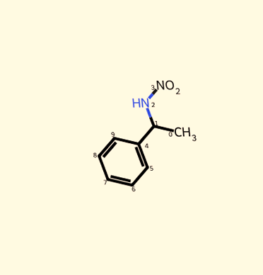 CC(N[N+](=O)[O-])c1ccccc1